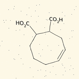 O=C(O)C1CC=CCCCC1C(=O)O